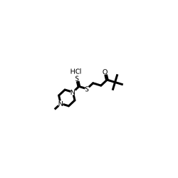 CN1CCN(C(=S)SCCC(=O)C(C)(C)C)CC1.Cl